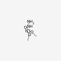 CCCCOc1cnc(C(=O)NCCN)cc1OCCCC